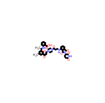 Cc1cc([C@@H](C)Nc2ccccc2C(=O)O)c2oc(N3CCN(C(=O)CCNc4cccc5c4C(=O)N(C4CCC(=O)NC4=O)C5=O)CC3)cc(=O)c2c1